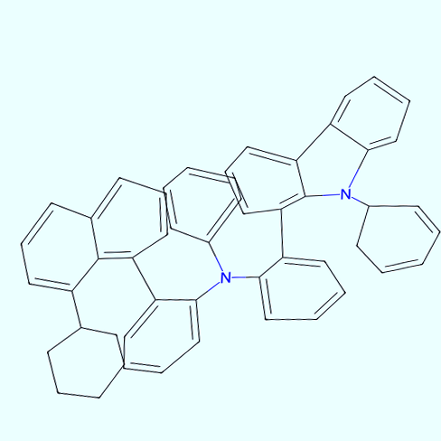 C1=CCC(n2c3ccccc3c3cccc(-c4ccccc4N(c4ccccc4)c4ccccc4-c4cccc5cccc(C6CCCCC6)c45)c32)C=C1